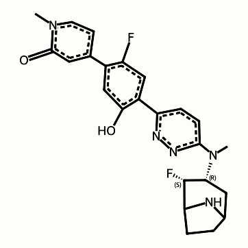 CN(c1ccc(-c2cc(F)c(-c3ccn(C)c(=O)c3)cc2O)nn1)[C@@H]1CC2CCC(N2)[C@@H]1F